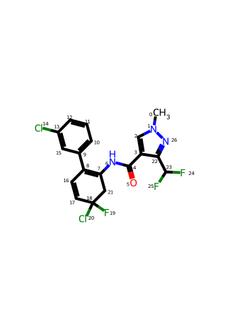 Cn1cc(C(=O)NC2=C(c3cccc(Cl)c3)C=CC(F)(Cl)C2)c(C(F)F)n1